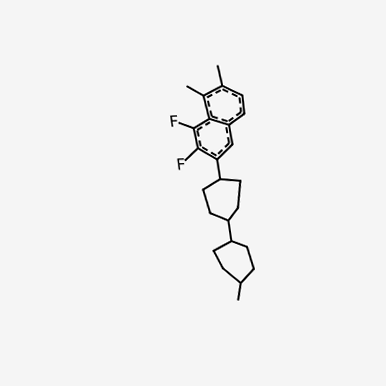 Cc1ccc2cc(C3CCC(C4CCC(C)CC4)CC3)c(F)c(F)c2c1C